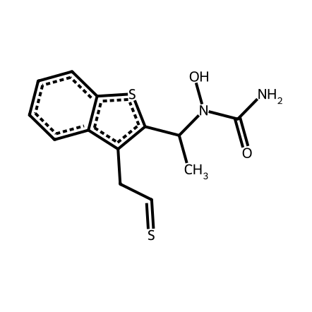 CC(c1sc2ccccc2c1CC=S)N(O)C(N)=O